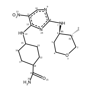 C[C@@H]1COCC[C@H]1Nc1ncc([N+](=O)[O-])c(NC2CCC(C(N)=O)CC2)n1